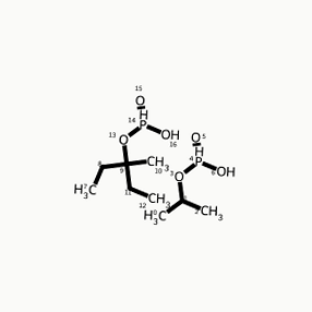 CC(C)O[PH](=O)O.CCC(C)(CC)O[PH](=O)O